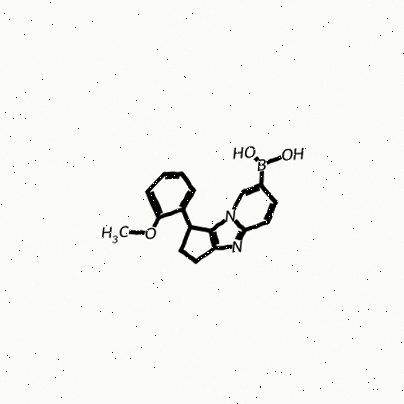 COc1ccccc1C1CCc2nc3ccc(B(O)O)cn3c21